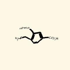 CCCCCc1cc(C(=O)O)ccc1N